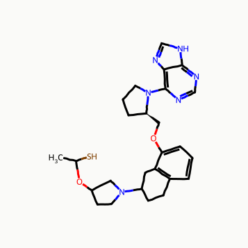 CC(S)OC1CCN(C2CCc3cccc(OC[C@H]4CCCN4c4ncnc5[nH]cnc45)c3C2)C1